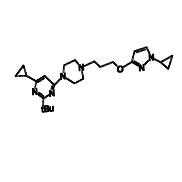 CC(C)(C)c1nc(C2CC2)cc(N2CCN(CCCOc3ccn(C4CC4)n3)CC2)n1